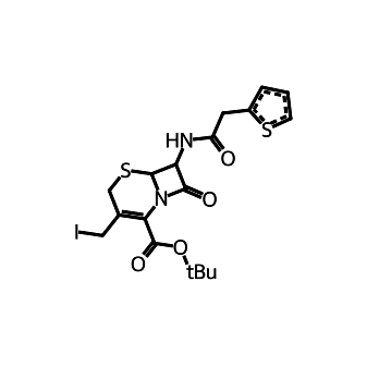 CC(C)(C)OC(=O)C1=C(CI)CSC2C(NC(=O)Cc3cccs3)C(=O)N12